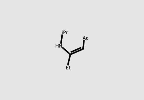 CCC(=CC(C)=O)NC(C)C